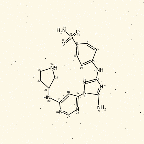 Nc1nc(Nc2ccc(S(N)(=O)=O)cc2)nn1-c1cc(NC2CCNC2)ncn1